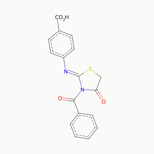 O=C(O)c1ccc(N=C2SCC(=O)N2C(=O)c2ccccc2)cc1